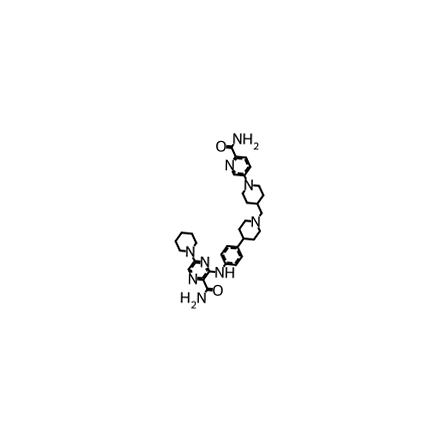 NC(=O)c1ccc(N2CCC(CN3CCC(c4ccc(Nc5nc(N6CCCCC6)cnc5C(N)=O)cc4)CC3)CC2)cn1